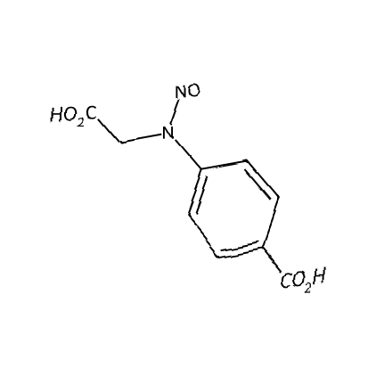 O=NN(CC(=O)O)c1ccc(C(=O)O)cc1